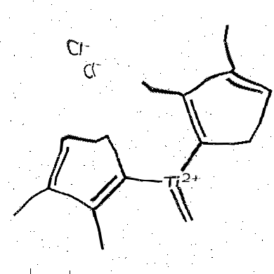 [CH2]=[Ti+2]([C]1=C(C)C(C)=CC1)[C]1=C(C)C(C)=CC1.[Cl-].[Cl-]